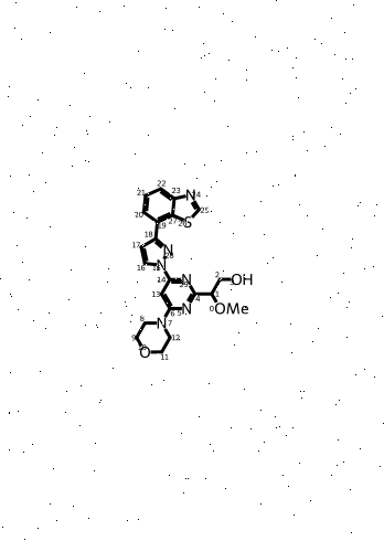 COC(CO)c1nc(N2CCOCC2)cc(-n2ccc(-c3cccc4ncsc34)n2)n1